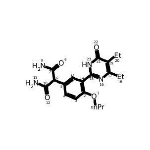 CCCOc1ccc(C(C(N)=O)C(N)=O)cc1-c1nc(CC)c(CC)c(=O)[nH]1